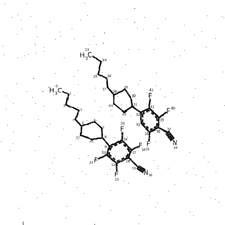 CCCCCC1CCC(c2c(F)c(F)c(C#N)c(F)c2F)CC1.CCCCCC1CCC(c2cc(F)c(C#N)c(F)c2F)CC1